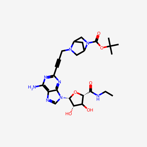 CCNC(=O)[C@H]1O[C@@H](n2cnc3c(N)nc(C#CCN4CC5CC4CN5C(=O)OC(C)(C)C)nc32)[C@@H](O)C1O